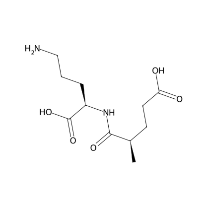 C[C@H](CCC(=O)O)C(=O)N[C@H](CCCN)C(=O)O